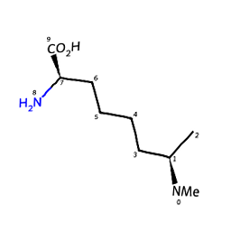 CN[C@H](C)CCCC[C@@H](N)C(=O)O